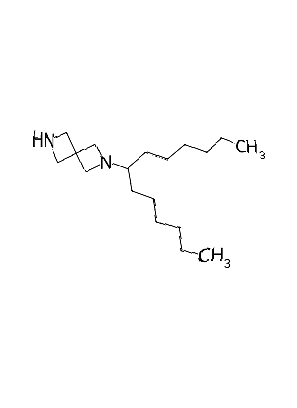 CCCCCCC(CCCCCC)N1CC2(CNC2)C1